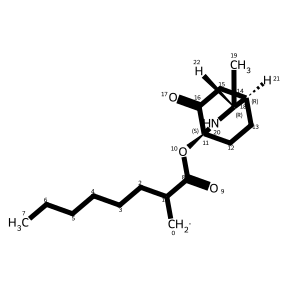 [CH2]C(CCCCCC)C(=O)O[C@@]12CC[C@H](CC1=O)[C@@H](C)N2